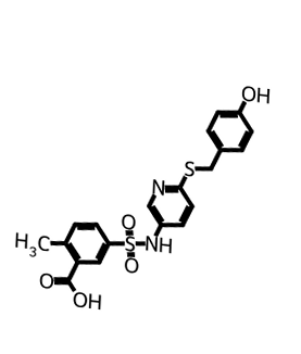 Cc1ccc(S(=O)(=O)Nc2ccc(SCc3ccc(O)cc3)nc2)cc1C(=O)O